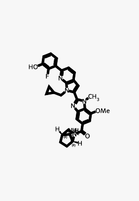 COc1cc(C(=O)N2C[C@H]3CC[C@@H]2[C@@H]3N)cc2nc(-c3cc4ccc(-c5cccc(O)c5F)nc4n3CC3CC3)n(C)c12